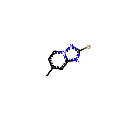 Cc1ccn2nc(Br)nc2c1